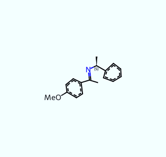 COc1ccc(C(C)=N[C@@H](C)c2ccccc2)cc1